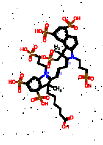 CC1(CCCCCC(=O)O)C(/C=C/C=C2/N(CCCS(=O)(=O)O)c3ccc4c(S(=O)(=O)O)cc(S(=O)(=O)O)cc4c3C2(C)CS(=O)(=O)O)=[N+](CCCS(=O)(=O)O)c2cc(S(=O)(=O)O)cc(S(=O)(=O)O)c21